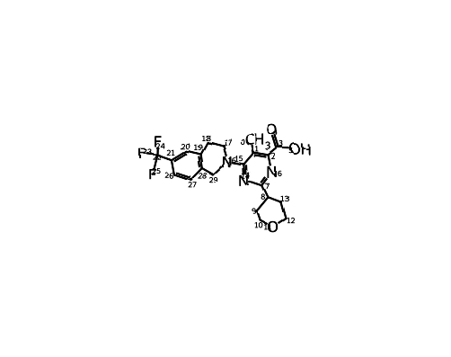 Cc1c(C(=O)O)nc(C2CCOCC2)nc1N1CCc2cc(C(F)(F)F)ccc2C1